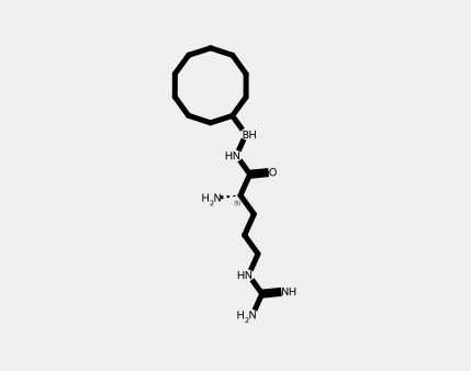 N=C(N)NCCC[C@H](N)C(=O)NBC1CCCCCCCCC1